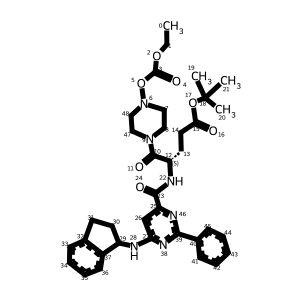 CCOC(=O)ON1CCN(C(=O)[C@H](CCC(=O)OC(C)(C)C)NC(=O)c2cc(NC3CCc4ccccc43)nc(-c3ccccc3)n2)CC1